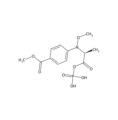 COC(=O)c1ccc(N(OC)[C@@H](C)C(=O)OP(=O)(O)O)cc1